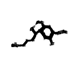 COc1cc(NC(C)=O)c(Cl)cc1C(Cl)CCCC=O